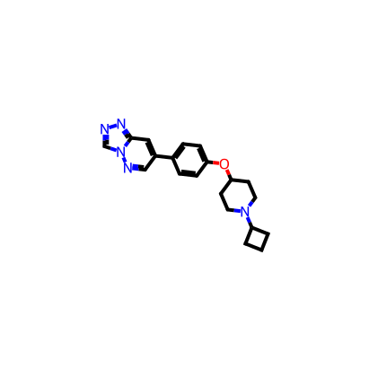 c1cc(-c2cnn3cnnc3c2)ccc1OC1CCN(C2CCC2)CC1